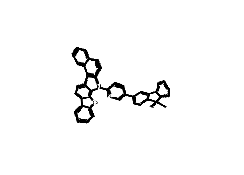 CC1(C)c2ccccc2-c2cc(-c3ccc(-n4c5ccc6ccccc6c5c5ccc6c7ccccc7oc6c54)nc3)ccc21